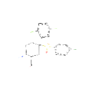 N[C@H]1CC[C@@](c2cc(F)ccc2F)(S(=O)(=O)c2ccc(Cl)cc2)C[C@H]1CO